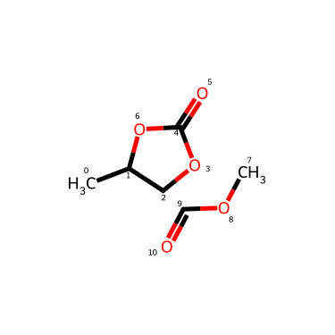 CC1COC(=O)O1.COC=O